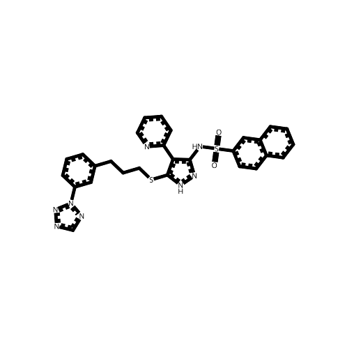 O=S(=O)(Nc1n[nH]c(SCCCc2cccc(-n3ncnn3)c2)c1-c1ccccn1)c1ccc2ccccc2c1